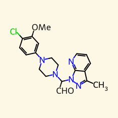 COc1cc(N2CCN(C(C=O)n3nc(C)c4cccnc43)CC2)ccc1Cl